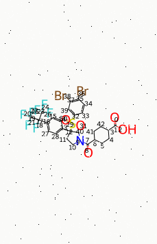 O=C(O)C1CCC(C(=O)N2CCC(c3ccc(C(F)(C(F)(F)F)C(F)(F)F)cc3)(S(=O)(=O)c3ccc(Br)c(Br)c3)C2)CC1